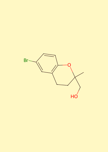 CC1(CO)CCc2cc(Br)ccc2O1